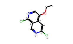 CCOc1cnc(Cl)c2cnc(Cl)cc12